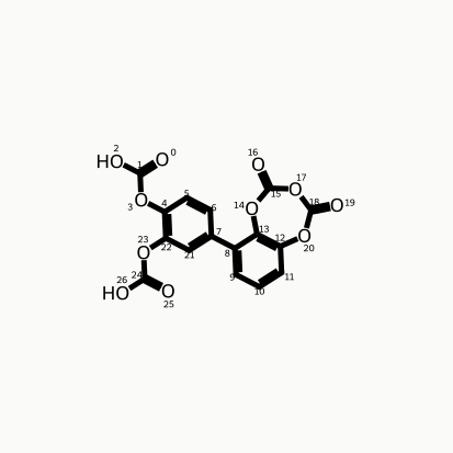 O=C(O)Oc1ccc(-c2cccc3c2OC(=O)OC(=O)O3)cc1OC(=O)O